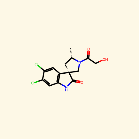 C[C@H]1C[C@]2(CN1C(=O)CO)C(=O)Nc1cc(Cl)c(Cl)cc12